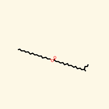 CCCCCCCCCCCCCCCCOC(=O)CCCCCCCCCCCCCC(C)CCC